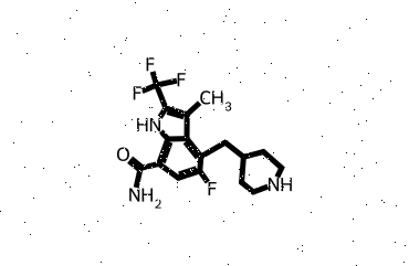 Cc1c(C(F)(F)F)[nH]c2c(C(N)=O)cc(F)c(CC3CCNCC3)c12